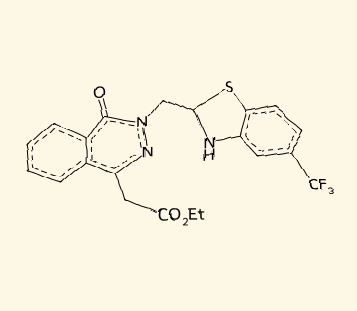 CCOC(=O)Cc1nn(CC2Nc3cc(C(F)(F)F)ccc3S2)c(=O)c2ccccc12